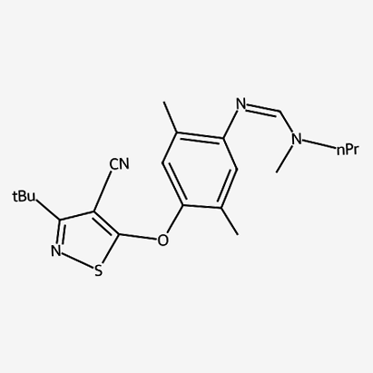 CCCN(C)/C=N\c1cc(C)c(Oc2snc(C(C)(C)C)c2C#N)cc1C